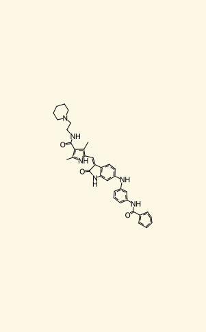 Cc1[nH]c(/C=C2\C(=O)Nc3cc(Nc4cccc(NC(=O)c5ccccc5)c4)ccc32)c(C)c1C(=O)NCCN1CCCCC1